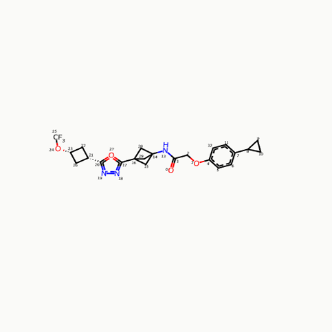 O=C(COc1ccc(C2CC2)cc1)NC12CC(c3nnc([C@H]4C[C@@H](OC(F)(F)F)C4)o3)(C1)C2